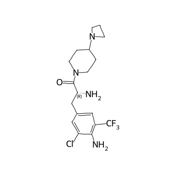 Nc1c(Cl)cc(C[C@@H](N)C(=O)N2CCC(N3CCC3)CC2)cc1C(F)(F)F